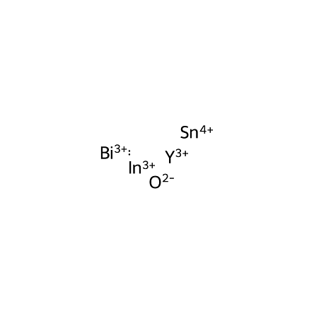 [Bi+3].[In+3].[O-2].[Sn+4].[Y+3]